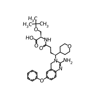 CC(C)(C)OC[C@@H](NC(=O)CC[C@@H](C1CCOCC1)N1Cc2cc(Oc3ccccc3)ccc2N=C1N)C(=O)O